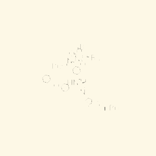 CCCCOC(=O)Cc1cc2c(s1)CCN(C(=O)[C@H](Cc1ccc(OCc3ccccc3)cc1)NC(=O)c1ccc(C(=NC(=O)OC(C)(C)C)N(C(=O)OC(C)(C)C)C(=O)OC(C)(C)C)cc1)C2